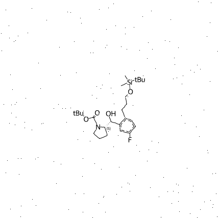 CC(C)(C)OC(=O)N1CCC[C@H]1C(O)c1cc(F)ccc1CCCO[Si](C)(C)C(C)(C)C